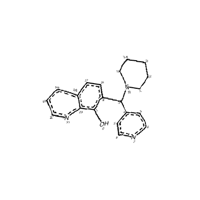 Oc1c(C(c2ccncc2)N2CCCCC2)ccc2cccnc12